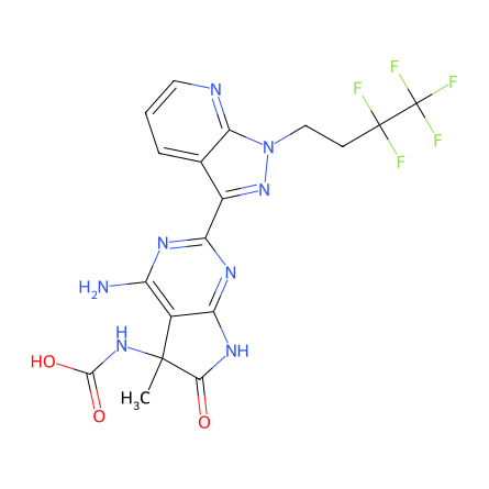 CC1(NC(=O)O)C(=O)Nc2nc(-c3nn(CCC(F)(F)C(F)(F)F)c4ncccc34)nc(N)c21